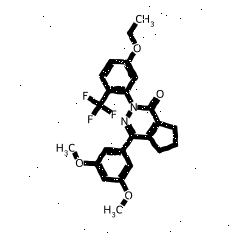 CCOc1ccc(C(F)(F)F)c(-n2nc(-c3cc(OC)cc(OC)c3)c3c(c2=O)CCC3)c1